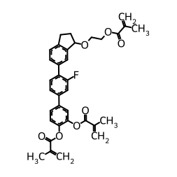 C=C(C)C(=O)OCCOC1CCc2ccc(-c3ccc(-c4ccc(OC(=O)C(=C)C)c(OC(=O)C(=C)C)c4)cc3F)cc21